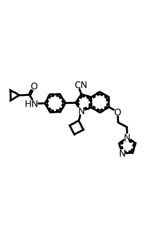 N#Cc1c(-c2ccc(NC(=O)C3CC3)cc2)n(C2CCC2)c2cc(OCCn3ccnc3)ccc12